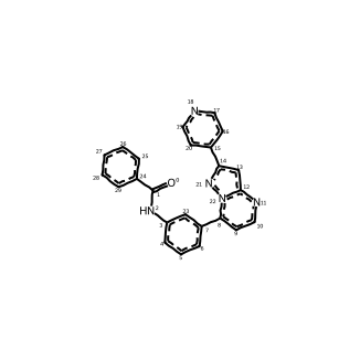 O=C(Nc1cccc(-c2ccnc3cc(-c4ccncc4)nn23)c1)c1ccccc1